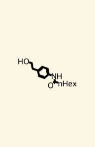 CCCCCCC(=O)Nc1ccc(CCO)cc1